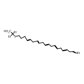 CCC=CCC=CCC=CCC=CCC=CCC=CCCCSC(CC)(CC)C(=O)O